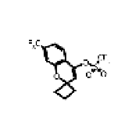 O=S(=O)(OC1=CC2(CCC2)Oc2cc(C(F)(F)F)ccc21)C(F)(F)F